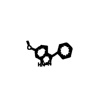 COc1ccc2c(-c3ccccc3)n[nH]c2c1